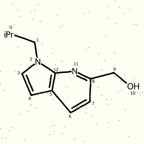 CC(C)Cn1ccc2ccc(CO)nc21